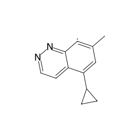 Cc1[c]c2nnccc2c(C2CC2)c1